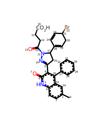 Cc1ccc2[nH]c(=O)c(C3=NN(C(=O)CCC(=O)O)C(C4=CCC(Br)C=C4)C3)c(-c3ccccc3)c2c1